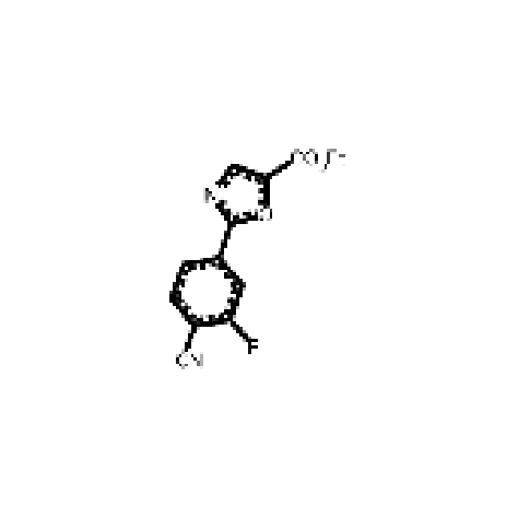 CCOC(=O)c1cnc(-c2ccc(C#N)c(F)c2)o1